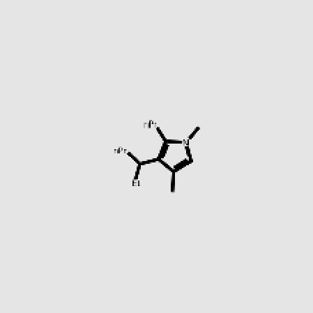 CCCc1c(C(CC)CCC)c(C)cn1C